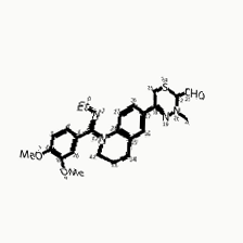 CCN=C(c1ccc(OC)c(OC)c1)N1CCCc2cc(C3=NN(C)C(C=O)SC3)ccc21